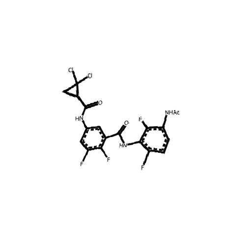 CC(=O)Nc1ccc(F)c(NC(=O)c2cc(NC(=O)C3CC3(Cl)Cl)cc(F)c2F)c1F